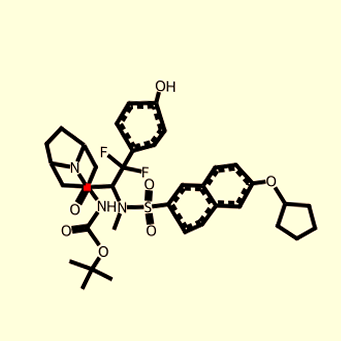 CN(C(C(=O)N1C2CCC1CC(NC(=O)OC(C)(C)C)C2)C(F)(F)c1ccc(O)cc1)S(=O)(=O)c1ccc2cc(OC3CCCC3)ccc2c1